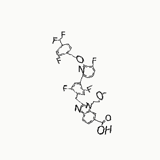 COCCn1c(Cc2cc(F)c(-c3ccc(F)c(OCc4ccc(C(F)F)cc4F)n3)cc2F)nc2ccc(C(=O)O)cc21